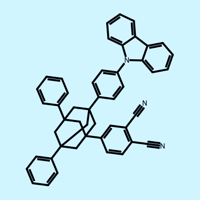 N#Cc1ccc(C23CC4(c5ccccc5)CC(c5ccccc5)(CC(c5ccc(-n6c7ccccc7c7ccccc76)cc5)(C4)C2)C3)cc1C#N